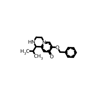 CC(C)C1NCCn2cc(OCc3ccccc3)c(=O)cc21